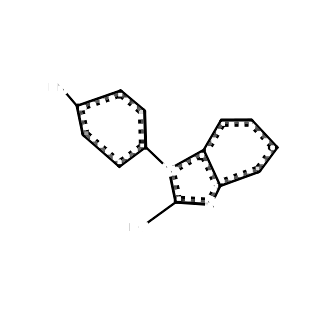 Cc1nc2ccccc2n1-c1ccc(N)cc1